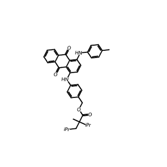 Cc1ccc(Nc2ccc(Nc3ccc(COC(=O)C(C)(CC(C)C)C(C)C)cc3)c3c2C(=O)c2ccccc2C3=O)cc1